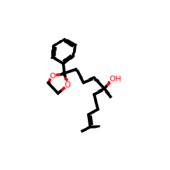 CC(C)=CCCC(C)(O)CCCC1(c2ccccc2)OCCO1